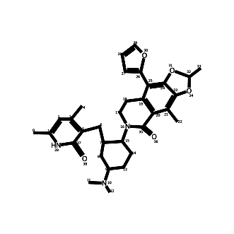 Cc1cc(C)c(CC2CC(N(C)C)CCC2N2CCc3c(c(C)c4c(c3-c3ccco3)OC(C)O4)C2=O)c(=O)[nH]1